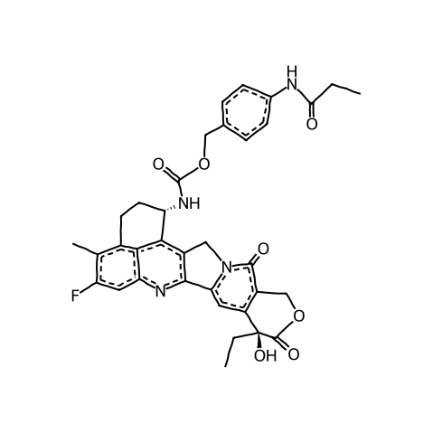 CCC(=O)Nc1ccc(COC(=O)N[C@H]2CCc3c(C)c(F)cc4nc5c(c2c34)Cn2c-5cc3c(c2=O)COC(=O)[C@]3(O)CC)cc1